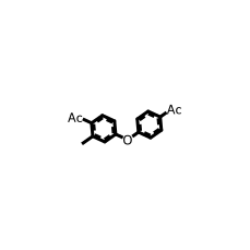 CC(=O)c1ccc(Oc2ccc(C(C)=O)c(C)c2)cc1